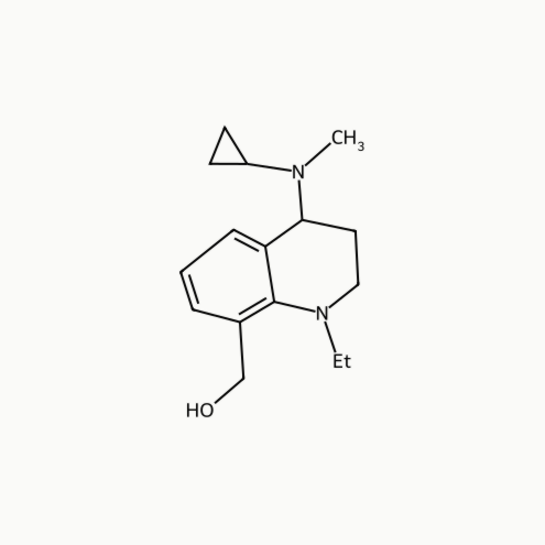 CCN1CCC(N(C)C2CC2)c2cccc(CO)c21